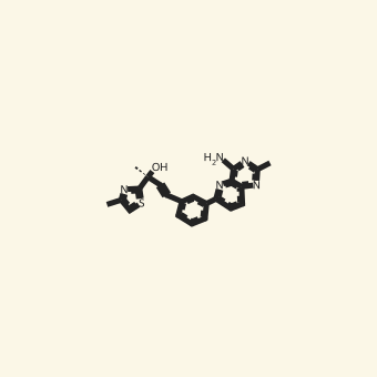 Cc1csc([C@@](C)(O)C#Cc2cccc(-c3ccc4nc(C)nc(N)c4n3)c2)n1